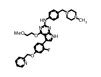 COCCOc1nc(Nc2ccc(CN3CCN(C)CC3)cc2)nc2[nH]cc(-c3ccc(OCc4ccccn4)cc3F)c12